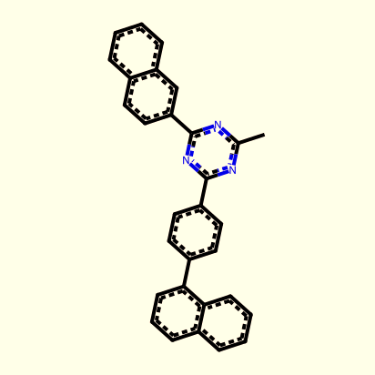 Cc1nc(-c2ccc(-c3cccc4ccccc34)cc2)nc(-c2ccc3ccccc3c2)n1